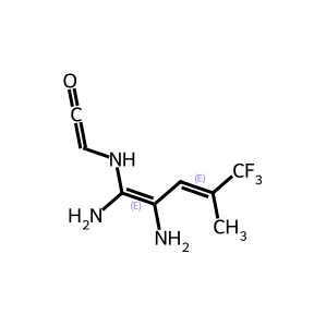 C/C(=C\C(N)=C(\N)NC=C=O)C(F)(F)F